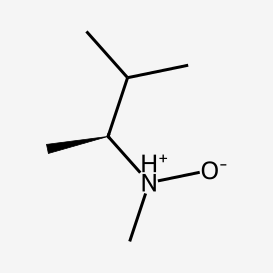 CC(C)[C@H](C)[NH+](C)[O-]